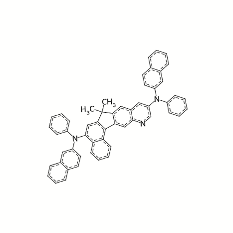 CC1(C)c2cc3cc(N(c4ccccc4)c4ccc5ccccc5c4)cnc3cc2-c2c1cc(N(c1ccccc1)c1ccc3ccccc3c1)c1ccccc21